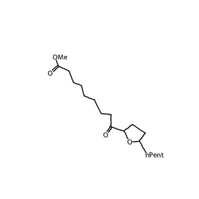 CCCCCC1CCC(C(=O)CCCCCCCC(=O)OC)O1